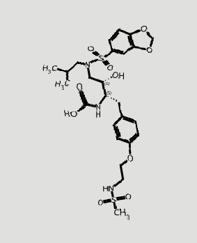 CC(C)CN(C[C@H](O)[C@H](Cc1ccc(OCCNS(C)(=O)=O)cc1)NC(=O)O)S(=O)(=O)c1ccc2c(c1)OCO2